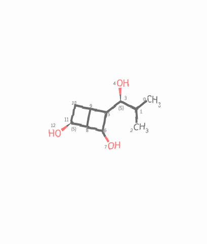 CC(C)[C@H](O)C1C(O)C2C1C[C@@H]2O